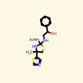 CC(=O)NC1(NCC(O)c2ccccc2)NC(C)(c2cncs2)CS1